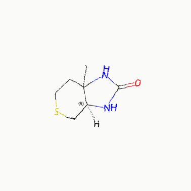 CC12CCSC[C@@H]1NC(=O)N2